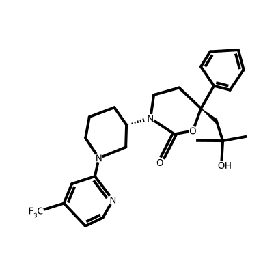 CC(C)(O)C[C@]1(c2ccccc2)CCN([C@H]2CCCN(c3cc(C(F)(F)F)ccn3)C2)C(=O)O1